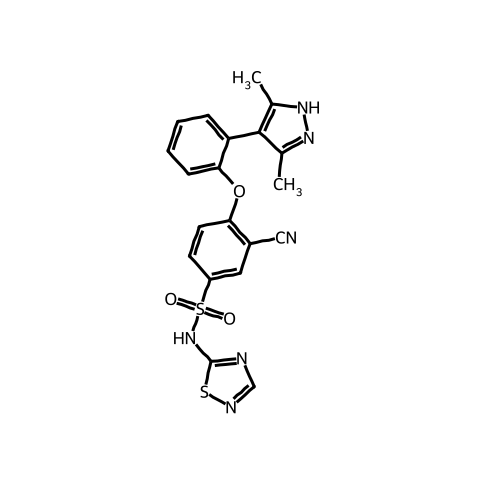 Cc1n[nH]c(C)c1-c1ccccc1Oc1ccc(S(=O)(=O)Nc2ncns2)cc1C#N